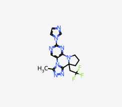 Cc1nnc2n1-c1cnc(-n3ccnc3)nc1N1CCCC21CC(F)(F)F